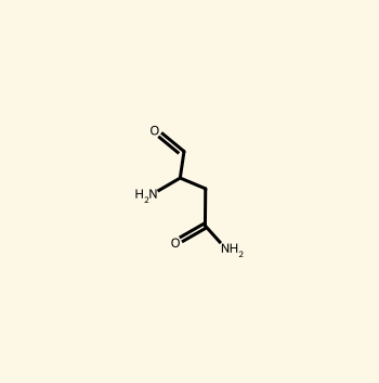 NC(=O)CC(N)C=O